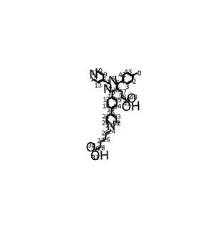 Cc1ccc(-c2nc(-c3ccncc3)nc(-c3ccc(-c4cc[n+](CCCCCC(=O)O)cc4)cc3)c2CCC(=O)O)cc1